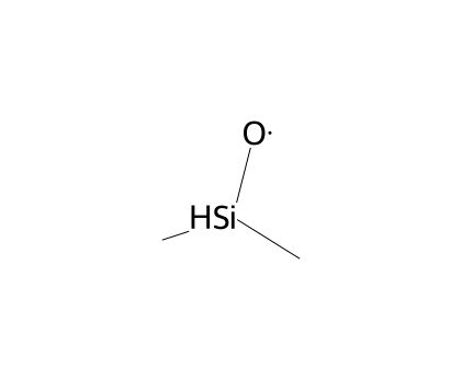 C[SiH](C)[O]